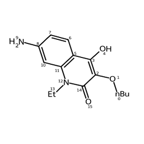 CCCCOc1c(O)c2ccc(N)cc2n(CC)c1=O